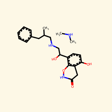 CC(CNCC(O)c1ccc(O)c2c1ONC(=O)C2)Cc1ccccc1.CNC